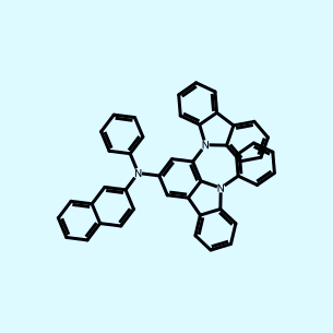 c1ccc(N(c2ccc3ccccc3c2)c2cc(-n3c4ccccc4c4ccccc43)c3c(c2)c2ccccc2n3-c2ccccc2)cc1